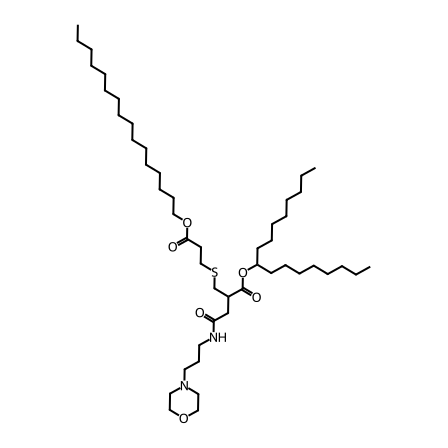 CCCCCCCCCCCCCCCCOC(=O)CCSCC(CC(=O)NCCCN1CCOCC1)C(=O)OC(CCCCCCCC)CCCCCCCC